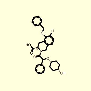 O=C(O)[C@H]1Cc2c(ccc(Cl)c2OCc2ccccc2)CN1C(=O)C(O[C@H]1CC[C@@H](O)CC1)c1ccccc1